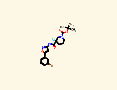 CC(C)(C)OC(=O)N1CCCC(F)(C(=O)Nc2cc(-c3cccc(Br)c3)on2)C1